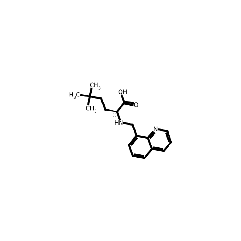 CC(C)(C)CC[C@H](NCc1cccc2cccnc12)C(=O)O